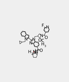 COc1cc(C(=O)N2CC3CCC2[C@@H]3N)cc2nc(-c3cc4ccccc4n3CC3CC3)n(CC3CN(C(=O)c4ccnc(F)c4)C3)c12